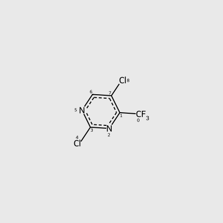 FC(F)(F)c1nc(Cl)ncc1Cl